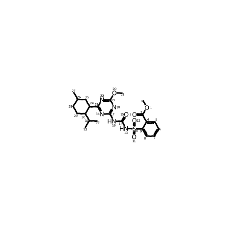 COC(=O)c1ccccc1S(=O)(=O)NC(=O)Nc1nc(OC)nc(C2CC(C)CCC2C(C)C)n1